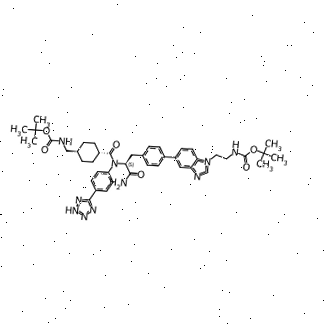 CC(C)(C)OC(=O)NCCn1cnc2cc(-c3ccc(C[C@@H](C(N)=O)N(c4ccc(-c5nn[nH]n5)cc4)C(=O)[C@H]4CC[C@H](CNC(=O)OC(C)(C)C)CC4)cc3)ccc21